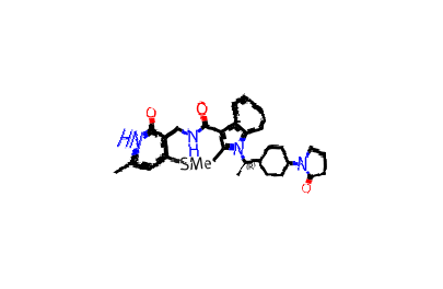 CSc1cc(C)[nH]c(=O)c1CNC(=O)c1c(C)n([C@H](C)C2CCC(N3CCCC3=O)CC2)c2ccccc12